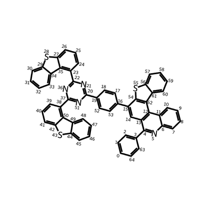 c1ccc(-c2nc3ccccc3c3c2cc(-c2ccc(-c4nc(-c5cccc6sc7ccccc7c56)nc(-c5cccc6sc7ccccc7c56)n4)cc2)c2sc4ccccc4c23)cc1